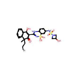 CC(C)CCC1(C)C(=O)C(C2=NS(O)(O)c3cc(NS(=O)(=O)N4CC(O)C4)ccc3N2)=C(O)c2ccccc21